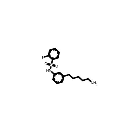 NCCCCCc1cccc(NS(=O)(=O)c2ccccc2F)c1